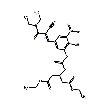 CCOC(=O)CC(CC(=O)OCC)OC(=O)Oc1cc(/C=C(\C#N)C(=O)N(CC)CC)cc([N+](=O)[O-])c1O